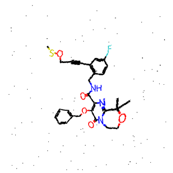 CSOCC#Cc1cc(F)ccc1CNC(=O)c1nc2n(c(=O)c1OCc1ccccc1)CCOC2(C)C